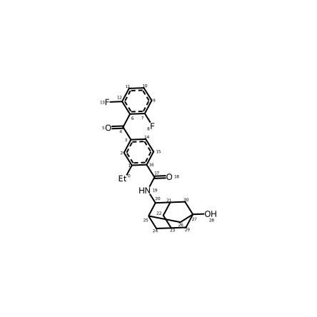 CCc1cc(C(=O)c2c(F)cccc2F)ccc1C(=O)NC1C2CC3CC1CC(O)(C3)C2